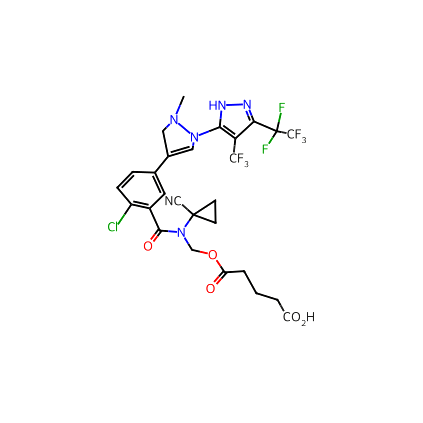 CN1CC(c2ccc(Cl)c(C(=O)N(COC(=O)CCCC(=O)O)C3(C#N)CC3)c2)=CN1c1[nH]nc(C(F)(F)C(F)(F)F)c1C(F)(F)F